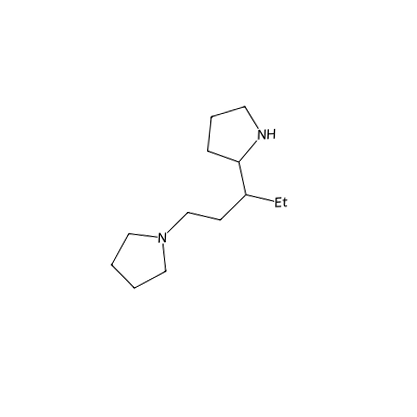 [CH2]CC(CCN1CCCC1)C1CCCN1